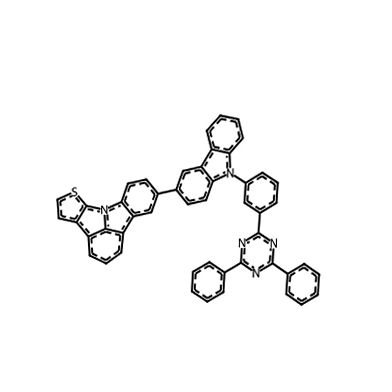 c1ccc(-c2nc(-c3ccccc3)nc(-c3cccc(-n4c5ccccc5c5cc(-c6ccc7c(c6)c6cccc8c9ccsc9n7c68)ccc54)c3)n2)cc1